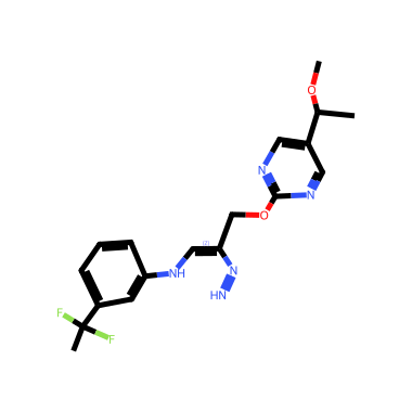 COC(C)c1cnc(OC/C(=C/Nc2cccc(C(C)(F)F)c2)N=N)nc1